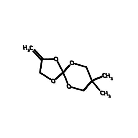 C=C1COC2(OCC(C)(C)CO2)O1